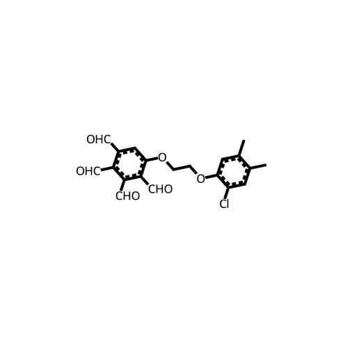 Cc1cc(Cl)c(OCCOc2cc(C=O)c(C=O)c(C=O)c2C=O)cc1C